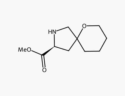 COC(=O)[C@@H]1CC2(CCCCO2)CN1